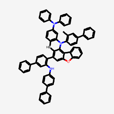 Cc1cc(-c2ccccc2)ccc1N1c2cc(N(c3ccccc3)c3ccccc3)ccc2Bc2c(-c3ccc(-c4ccccc4)cc3Nc3ccc(-c4ccccc4)cc3)cc3oc4ccccc4c3c21